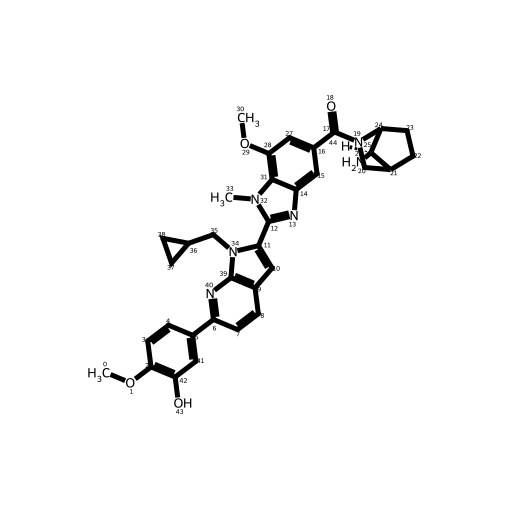 COc1ccc(-c2ccc3cc(-c4nc5cc(C(=O)N6CC7CCC6[C@@H]7N)cc(OC)c5n4C)n(CC4CC4)c3n2)cc1O